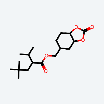 CC(C)C(CC(C)(C)C)C(=O)OCC1CCC2OC(=O)OC2C1